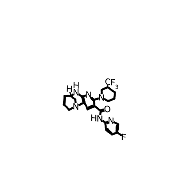 O=C(Nc1ccc(F)cn1)c1cc2c(nc1N1CCC[C@H](C(F)(F)F)C1)N[C@H]1CCCN2C1